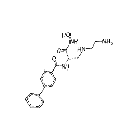 NCCNC[C@H](NC(=O)c1ccc(-c2ccccc2)cc1)C(=O)NO